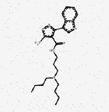 CCCCN(CCCC)CCCNC(=O)c1c(-c2coc3ccccc23)noc1N